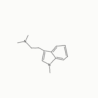 CN(C)CCc1cn(C)c2ccccc12